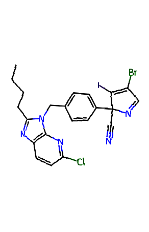 CCCCc1nc2ccc(Cl)nc2n1Cc1ccc(C2(C#N)N=CC(Br)=C2I)cc1